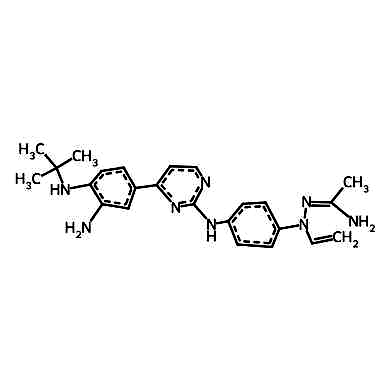 C=CN(/N=C(/C)N)c1ccc(Nc2nccc(-c3ccc(NC(C)(C)C)c(N)c3)n2)cc1